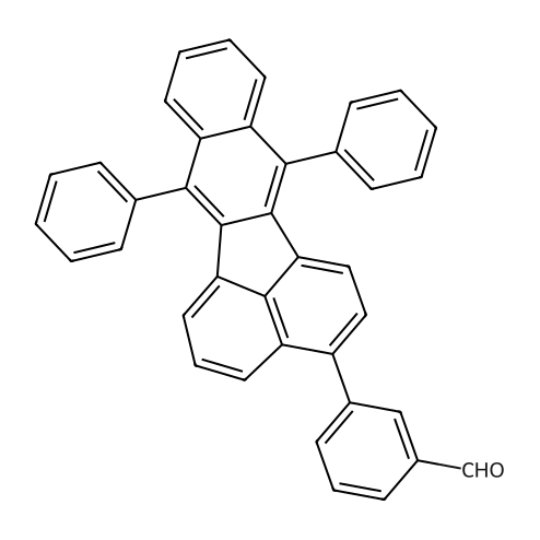 O=Cc1cccc(-c2ccc3c4c(cccc24)-c2c-3c(-c3ccccc3)c3ccccc3c2-c2ccccc2)c1